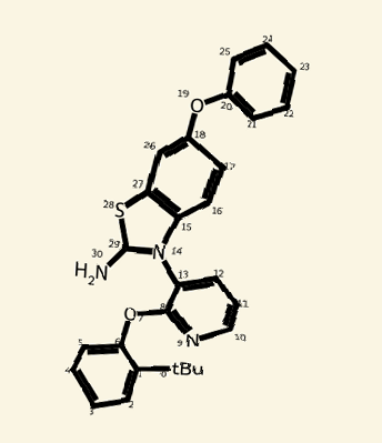 CC(C)(C)c1ccccc1Oc1ncccc1N1c2ccc(Oc3ccccc3)cc2SC1N